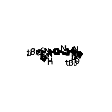 CC(C)(C)OC(=O)N1CCC[C@H]1c1ncc(-c2ccc(-c3ccc(-c4cnc([C@@H]5CCCN5C(=O)OC(C)(C)C)[nH]4)cn3)cc2)[nH]1